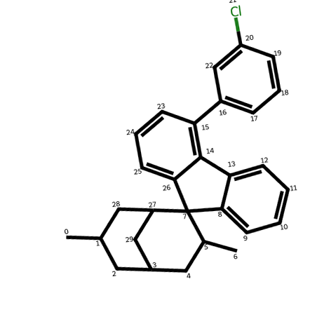 CC1CC2CC(C)C3(c4ccccc4-c4c(-c5cccc(Cl)c5)cccc43)C(C1)C2